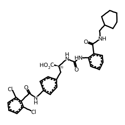 O=C(Nc1ccccc1C(=O)NCC1CCCCC1)N[C@@H](Cc1ccc(NC(=O)c2c(Cl)cccc2Cl)cc1)C(=O)O